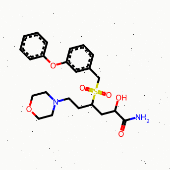 NC(=O)C(O)CC(CCN1CCOCC1)S(=O)(=O)Cc1cccc(Oc2ccccc2)c1